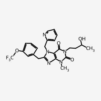 CC(O)CCn1c(=O)c2c(nc(Cc3cccc(OC(F)(F)F)c3)n2Cc2ccccn2)n(C)c1=O